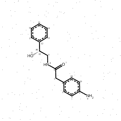 Nc1ccc(CC(=O)NC[C@H](O)c2ccccc2)cc1